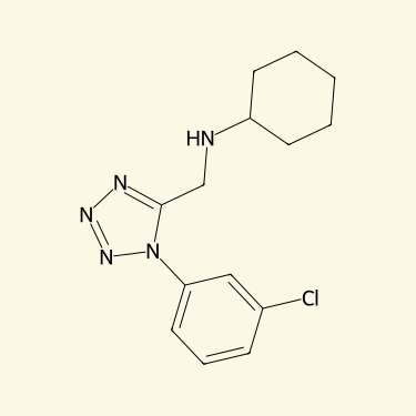 Clc1cccc(-n2nnnc2CNC2CCCCC2)c1